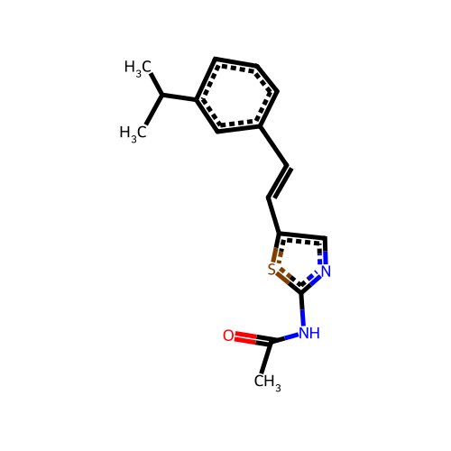 CC(=O)Nc1ncc(C=Cc2cccc(C(C)C)c2)s1